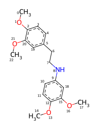 COc1ccc(CCNc2ccc(OC)c(OC)c2)cc1OC